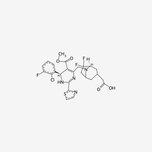 COC(=O)C1=C(CN2C3CC(CC(=O)O)C[C@@H]2C(F)(F)C3)N=C(c2nccs2)N[C@H]1c1cccc(F)c1Cl